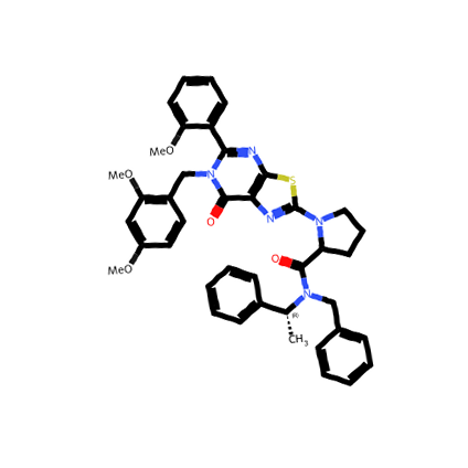 COc1ccc(Cn2c(-c3ccccc3OC)nc3sc(N4CCCC4C(=O)N(Cc4ccccc4)[C@H](C)c4ccccc4)nc3c2=O)c(OC)c1